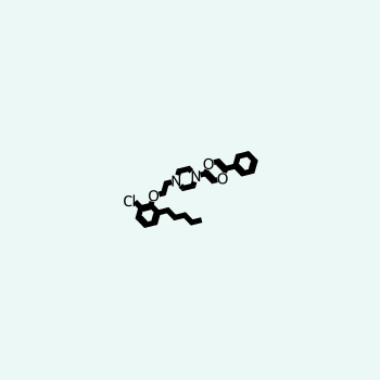 CCCCCc1cccc(Cl)c1OCCN1CCN(C2=COC(C3=CC=CCC3)=CO2)CC1